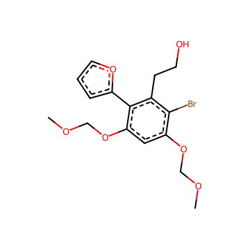 COCOc1cc(OCOC)c(-c2ccco2)c(CCO)c1Br